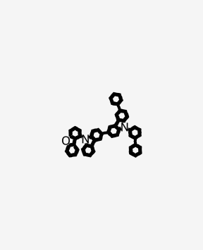 c1ccc(-c2cccc(-n3c4ccc(-c5ccccc5)cc4c4cc(-c5ccc6c(c5)c5ccccc5n6-c5cccc6oc7ccccc7c56)ccc43)c2)cc1